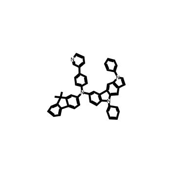 CC1(C)c2ccccc2-c2ccc(N(c3ccc(-c4cccnc4)cc3)c3ccc4c(c3)c3cc5c(ccn5-c5ccccc5)cc3n4-c3ccccc3)cc21